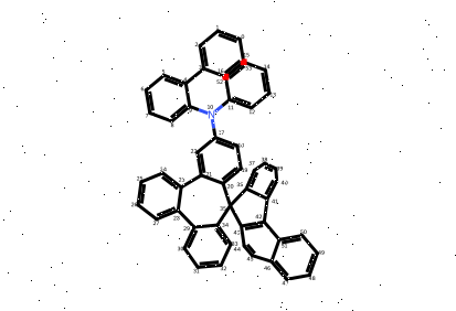 c1ccc(-c2ccccc2N(c2ccccc2)c2ccc3c(c2)-c2ccccc2-c2ccccc2C32c3ccccc3-c3c2ccc2ccccc32)cc1